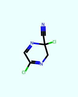 N#CC1(Cl)CN=C(Cl)C=N1